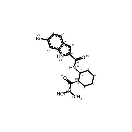 CN(C#N)C(=O)[C@@H]1CCCC[C@@H]1NC(=O)c1cc2ccc(Br)cc2[nH]1